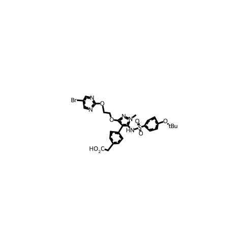 Cn1nc(OCCOc2ncc(Br)cn2)c(-c2ccc(CC(=O)O)cc2)c1NS(=O)(=O)c1ccc(OC(C)(C)C)cc1